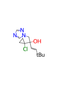 CC(C)(C)/C=C/C(O)(Cn1cncn1)C1(Cl)CC1